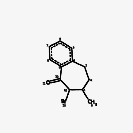 CC1CCc2ccccc2C(=O)C1Br